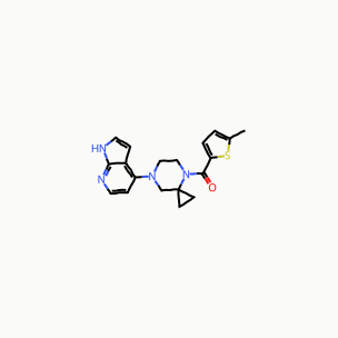 Cc1ccc(C(=O)N2CCN(c3ccnc4[nH]ccc34)CC23CC3)s1